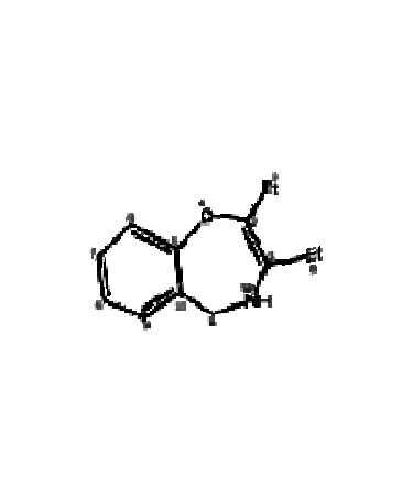 CCC1=C(CC)Oc2ccccc2CN1